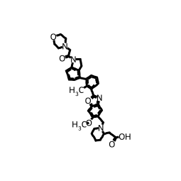 COc1cc2oc(-c3cccc(-c4cccc5c4CCN5C(=O)CN4CCOCC4)c3C)nc2cc1CN1CCCCC1CC(=O)O